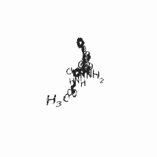 CCOC(=O)CCCNc1cc(Cl)cc2c(S(=O)(=O)N3CCO[C@H](COc4ccccc4)C3)c(C(N)=O)[nH]c12